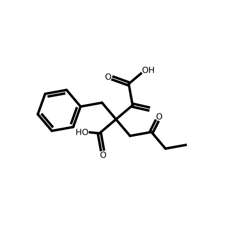 C=C(C(=O)O)C(CC(=O)CC)(Cc1ccccc1)C(=O)O